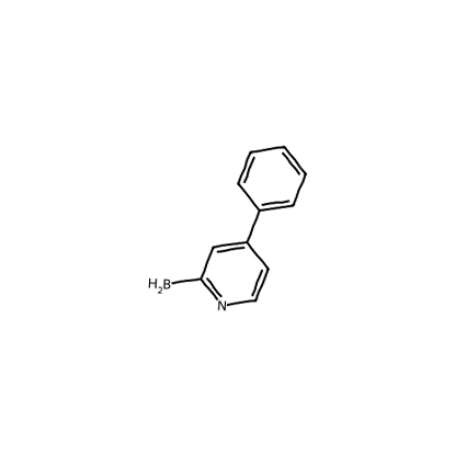 Bc1cc(-c2ccccc2)ccn1